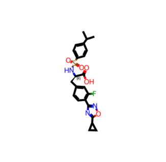 CC(C)c1ccc(S(=O)(=O)N[C@H](Cc2ccc(-c3noc(C4CC4)n3)c(F)c2)C(=O)O)cc1